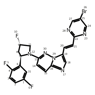 Fc1ccc(F)c([C@H]2C[C@H](F)CN2c2ccc3ncc(/C=C/c4ncc(Br)cn4)n3n2)c1